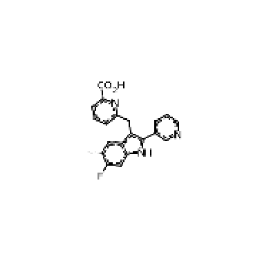 Cc1cc2c(Cc3cccc(C(=O)O)n3)c(-c3cccnc3)[nH]c2cc1F